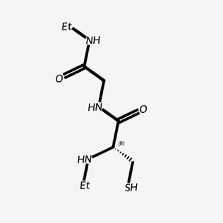 CCNC(=O)CNC(=O)[C@H](CS)NCC